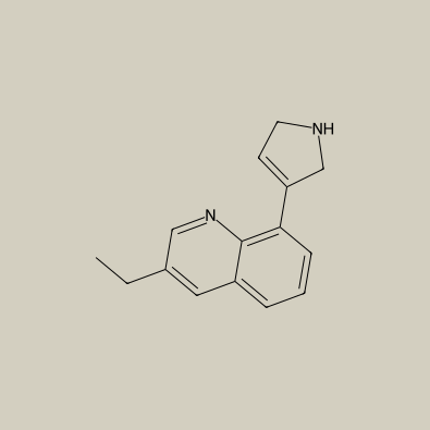 CCc1cnc2c(C3=CCNC3)cccc2c1